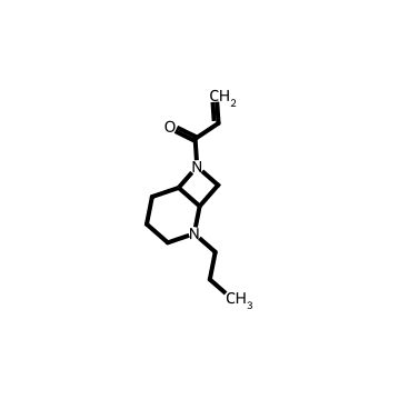 C=CC(=O)N1CC2C1CCCN2CCC